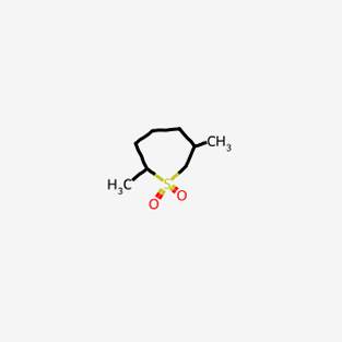 CC1CCCC(C)S(=O)(=O)C1